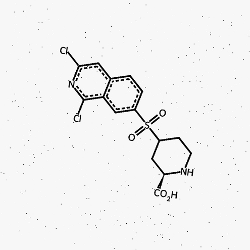 O=C(O)[C@H]1CC(S(=O)(=O)c2ccc3cc(Cl)nc(Cl)c3c2)CCN1